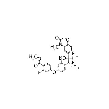 COC(=O)c1ccc(Oc2ccc(C(C)C(O)(c3ccc4c(c3)N(C)C(=O)CO4)C(F)(F)F)c(Cl)c2)cc1F